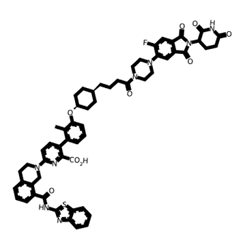 Cc1c(O[C@H]2CC[C@H](CCCC(=O)N3CCN(c4cc5c(cc4F)C(=O)N(C4CCC(=O)NC4=O)C5=O)CC3)CC2)cccc1-c1ccc(N2CCc3cccc(C(=O)Nc4nc5ccccc5s4)c3C2)nc1C(=O)O